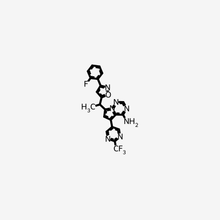 CC(c1cc(-c2ccccc2F)no1)c1cc(-c2cnc(C(F)(F)F)nc2)c2c(N)ncnn12